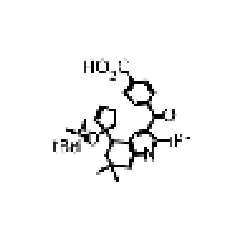 CC(C)c1nc2c(cc1C(=O)c1ccc(C(=O)O)cc1)C(C1(O[Si](C)(C)C(C)(C)C)C=CCC1)CC(C)(C)C2